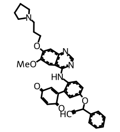 C#CC(Oc1ccc(Nc2ncnc3cc(OCCCN4CCCC4)c(OC)cc23)c(C2=CC(=O)C=CC2=O)c1)c1ccccc1